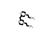 CCCN1CCOC(CC2CN(CCC)CCO2)C1